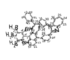 Bc1c(B)c(B)c(-c2c3ccccc3c(-c3cccc(-c4nc5ccccc5n4-c4ccccc4)c3)c3ccc(-c4ccccc4)cc23)c(B)c1B